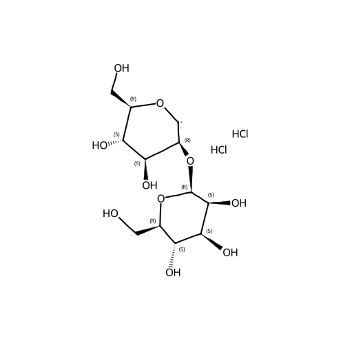 Cl.Cl.OC[C@H]1O[C@@H](O[C@@H]2[CH]O[C@H](CO)[C@@H](O)[C@@H]2O)[C@@H](O)[C@@H](O)[C@@H]1O